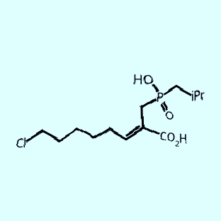 CC(C)CP(=O)(O)C/C(=C\CCCCCCl)C(=O)O